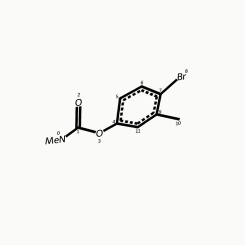 CNC(=O)Oc1ccc(Br)c(C)c1